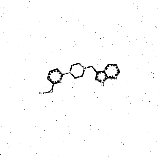 COc1cccc(N2CCN(Cc3c[nH]c4ncccc34)CC2)n1